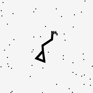 NCCC1[CH]C1